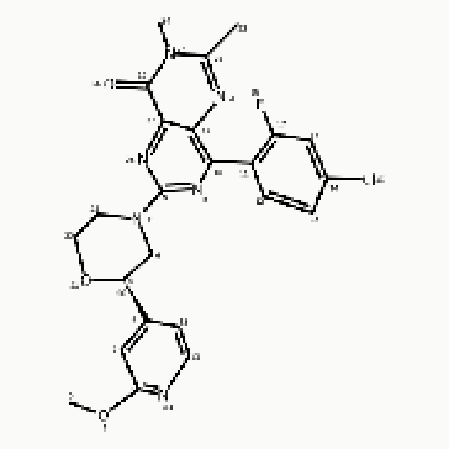 COc1cc([C@@H]2CN(c3nc(-c4ccc(Cl)cc4F)c4nc(C)n(C)c(=O)c4n3)CCO2)ccn1